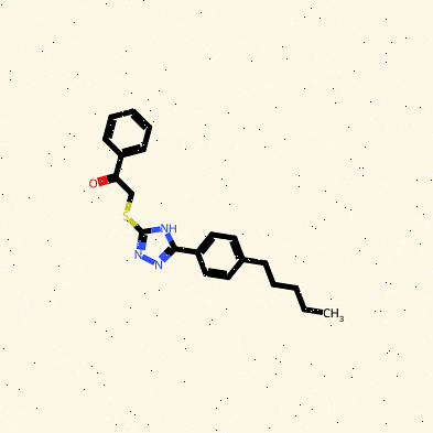 CCCCCc1ccc(-c2nnc(SCC(=O)c3ccccc3)[nH]2)cc1